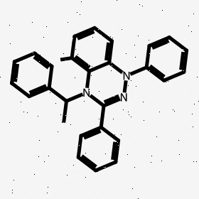 Cc1cccc2c1N(C(C)c1ccccc1)C(c1ccccc1)=NN2c1ccccc1